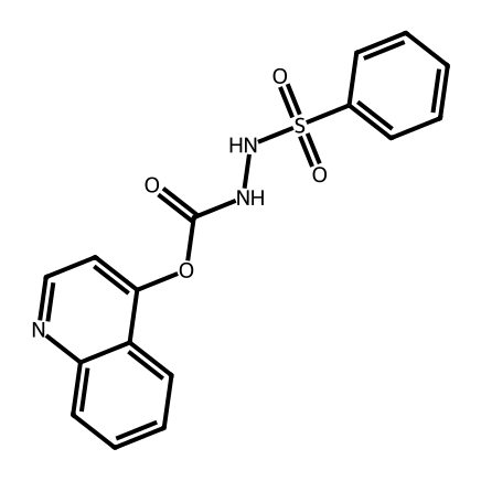 O=C(NNS(=O)(=O)c1ccccc1)Oc1ccnc2ccccc12